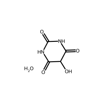 O.O=C1NC(=O)C(O)C(=O)N1